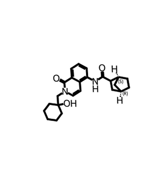 O=C(Nc1cccc2c(=O)n(CC3(O)CCCCC3)ccc12)C1C[C@@H]2CC[C@H]1C2